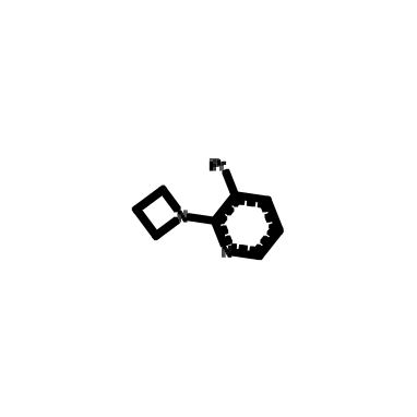 CC(C)c1cccnc1N1CCC1